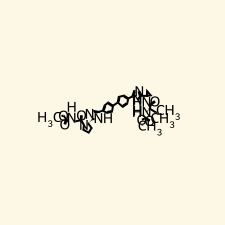 COC(=O)NCC(=O)N1CCC[C@H]1c1ncc(-c2ccc(-c3ccc(-c4cnc(C5(NC(=O)[C@@H](NC(=O)OC)C(C)C)CC5)[nH]4)cc3)cc2)[nH]1